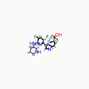 CC(O)(c1ccc2ncc(-c3ccc(F)c(N[C@@H]4CCCNC4)n3)n2c1)C(F)(F)F